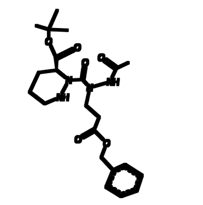 CC(=O)NN(CCC(=O)OCc1ccccc1)C(=O)N1NCCC[C@H]1C(=O)OC(C)(C)C